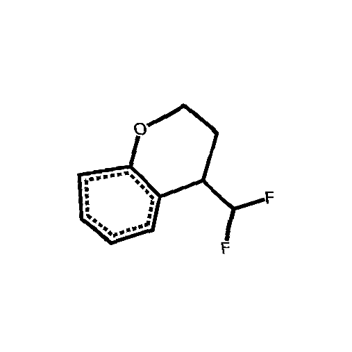 FC(F)C1CCOc2ccccc21